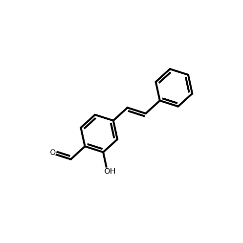 O=Cc1ccc(/C=C/c2ccccc2)cc1O